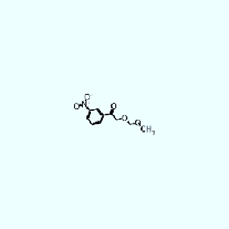 COCOCC(=O)c1cccc([N+](=O)[O-])c1